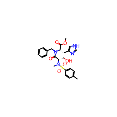 COC(=O)[C@H](Cc1c[nH]cn1)N(Cc1ccccc1)C(=O)[C@H](CO)N(C)S(=O)(=O)c1ccc(C)cc1